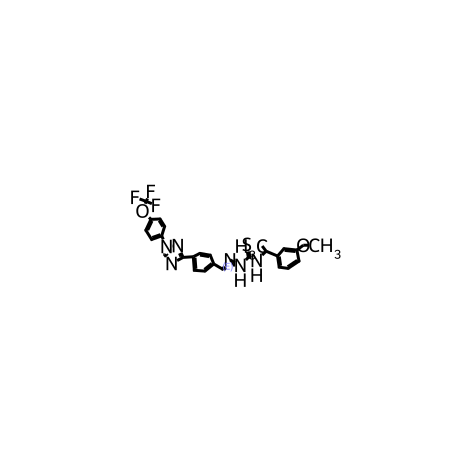 COc1cccc(C(C)NC(=S)N/N=C/c2ccc(-c3ncn(-c4ccc(OC(F)(F)F)cc4)n3)cc2)c1